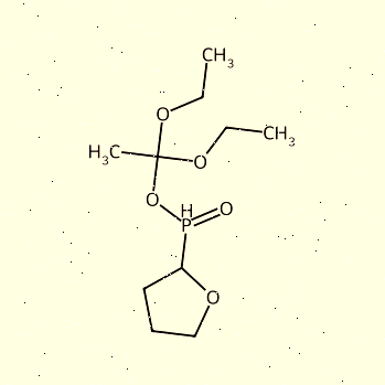 CCOC(C)(OCC)O[PH](=O)C1CCCO1